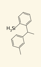 Cc1cccc(C(C)c2ccccc2[SiH3])c1